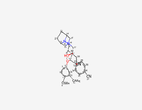 COc1ccc(OC(CCCN2C3CCC2CN(C[C@H](O)CC#N)C3)c2ccc(C#N)cc2)cc1OC